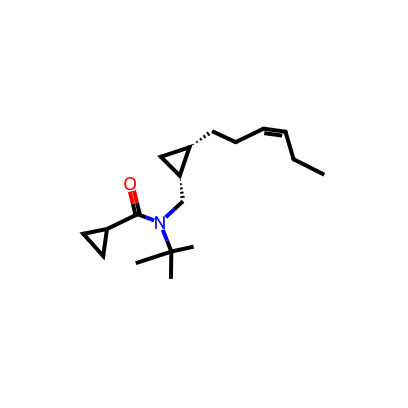 CC/C=C\CC[C@H]1C[C@H]1CN(C(=O)C1CC1)C(C)(C)C